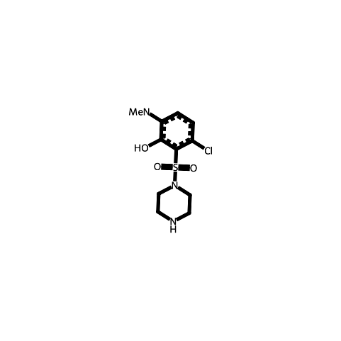 CNc1ccc(Cl)c(S(=O)(=O)N2CCNCC2)c1O